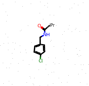 CC(C)C(=O)NCc1ccc(Cl)cc1